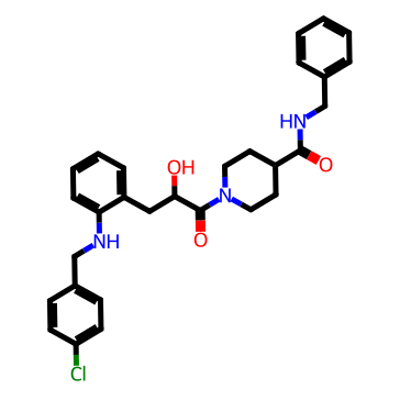 O=C(NCc1ccccc1)C1CCN(C(=O)C(O)Cc2ccccc2NCc2ccc(Cl)cc2)CC1